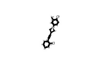 Clc1ccc(N2CC(C#Cc3ccccc3Cl)C2)cc1I